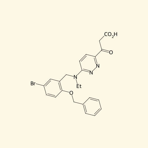 CCN(Cc1cc(Br)ccc1OCc1ccccc1)c1ccc(C(=O)CC(=O)O)nn1